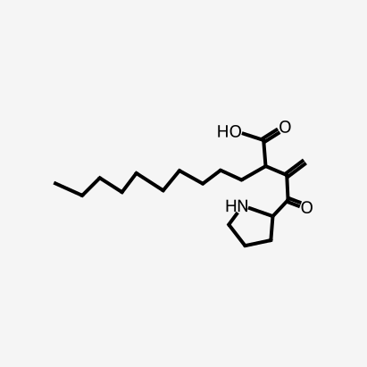 C=C(C(=O)C1CCCN1)C(CCCCCCCCCC)C(=O)O